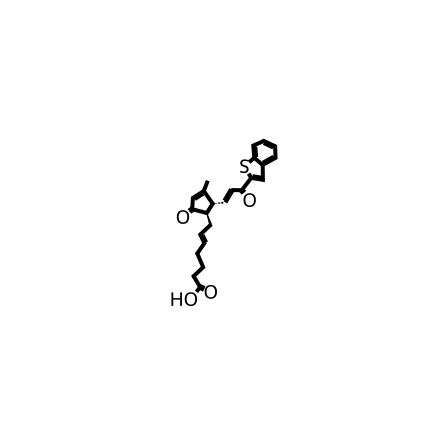 CC1=CC(=O)[C@H](CC=CCCCC(=O)O)[C@H]1C=CC(=O)c1cc2ccccc2s1